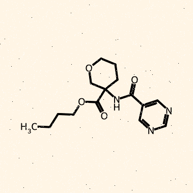 CCCCOC(=O)C1(NC(=O)c2cncnc2)CCCOC1